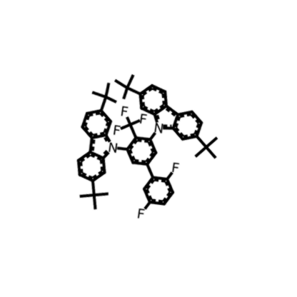 CC(C)(C)c1ccc2c3ccc(C(C)(C)C)cc3n(-c3cc(-c4cc(F)ccc4F)cc(-n4c5cc(C(C)(C)C)ccc5c5ccc(C(C)(C)C)cc54)c3C(F)(F)F)c2c1